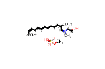 CCCCCCCC/C=C\CCCCCCCCC(CN(C)CCO)C(=O)O.COS(=O)(=O)O